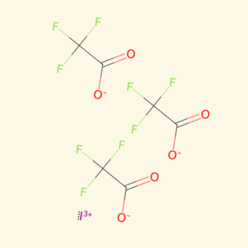 O=C([O-])C(F)(F)F.O=C([O-])C(F)(F)F.O=C([O-])C(F)(F)F.[I+3]